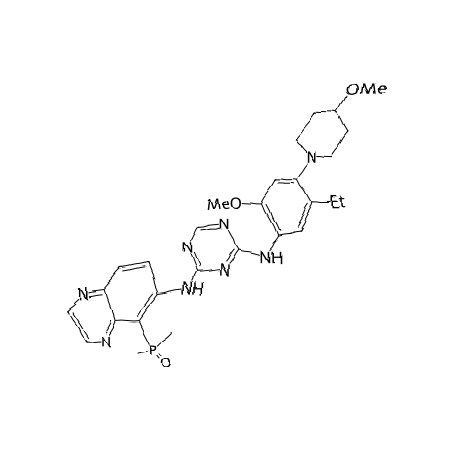 CCc1cc(Nc2ncnc(Nc3ccc4nccnc4c3P(C)(C)=O)n2)c(OC)cc1N1CCC(OC)CC1